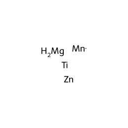 [MgH2].[Mn].[Ti].[Zn]